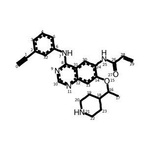 C#Cc1cccc(Nc2ncnc3cc(OC(C)C4CCNCC4)c(NC(=O)C=C)cc23)c1